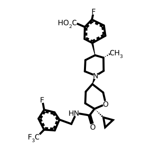 C[C@@H]1CN([C@@H]2CC[C@@](C(=O)NCc3cc(F)cc(C(F)(F)F)c3)(C3CC3)OC2)CC[C@H]1c1ccc(F)c(C(=O)O)c1